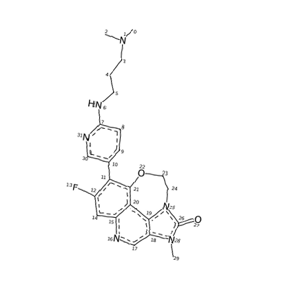 CN(C)CCCNc1ccc(-c2c(F)cc3ncc4c5c3c2OCCn5c(=O)n4C)cn1